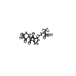 CC(C)(C)N(CCOc1cccc2c1C(=O)N(C1CCC(=O)NC1=O)C2=O)C(=O)O